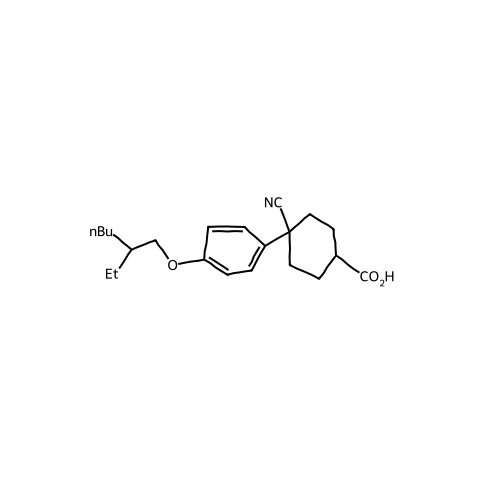 CCCCC(CC)COc1ccc(C2(C#N)CCC(C(=O)O)CC2)cc1